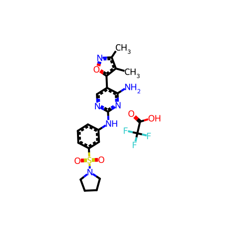 Cc1noc(-c2cnc(Nc3cccc(S(=O)(=O)N4CCCC4)c3)nc2N)c1C.O=C(O)C(F)(F)F